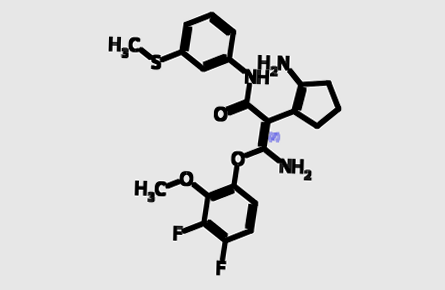 COc1c(O/C(N)=C(\C(=O)Nc2cccc(SC)c2)C2=C(N)CCC2)ccc(F)c1F